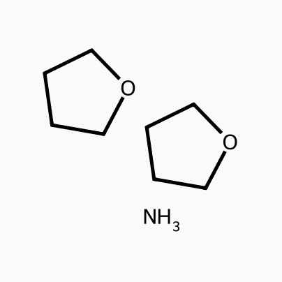 C1CCOC1.C1CCOC1.N